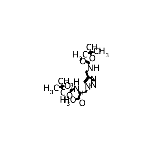 CC(C)(C)OC(=O)NCc1cn(C[C@H](NC(=O)OC(C)(C)C)C(=O)O)nn1